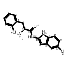 N[C@@H](Cc1ccccc1Cl)C(=O)Nc1cc2cc(Cl)ccc2[nH]1